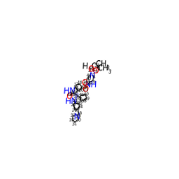 CC(C)(C)OC(=O)N1CCC(NS(=O)(=O)c2ccc3c(c2)/C(=C(/Nc2ccc(CN4CCCC4)cc2)c2ccccc2)C(=O)N3)CC1